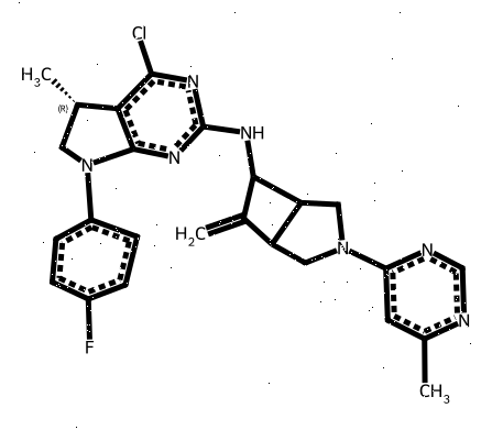 C=C1C2CN(c3cc(C)ncn3)CC2C1Nc1nc(Cl)c2c(n1)N(c1ccc(F)cc1)C[C@@H]2C